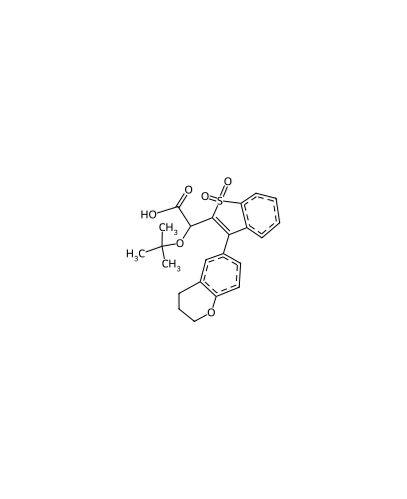 CC(C)(C)OC(C(=O)O)C1=C(c2ccc3c(c2)CCCO3)c2ccccc2S1(=O)=O